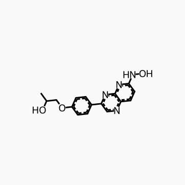 CC(O)COc1ccc(-c2cnc3ccc(NO)nc3n2)cc1